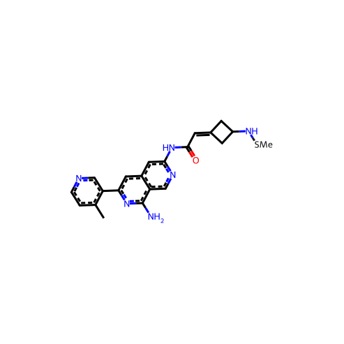 CSNC1CC(=CC(=O)Nc2cc3cc(-c4cnccc4C)nc(N)c3cn2)C1